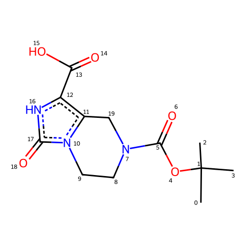 CC(C)(C)OC(=O)N1CCn2c(c(C(=O)O)[nH]c2=O)C1